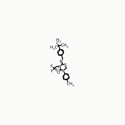 Cc1ccc(N2CSC(=NCc3ccc(C(C)(C)C)cc3)N(CC(F)(F)F)C2=O)cc1